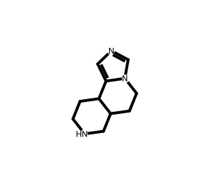 c1ncn2c1C1CCNCC1CC2